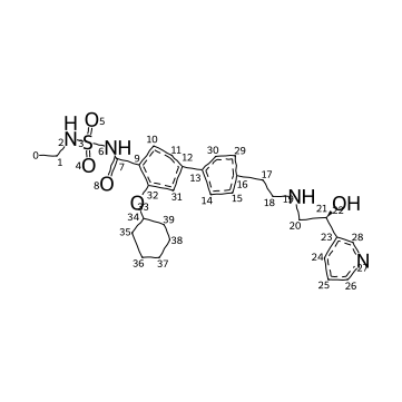 CCNS(=O)(=O)NC(=O)c1ccc(-c2ccc(CCNC[C@@H](O)c3cccnc3)cc2)cc1OC1CCCCC1